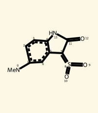 CNc1ccc2c(c1)C(=S(=O)=O)C(=O)N2